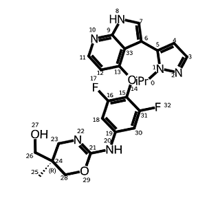 CC(C)n1nccc1-c1c[nH]c2nccc(Oc3c(F)cc(NC4=NC[C@](C)(CO)CO4)cc3F)c12